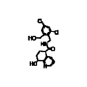 O=C(NCc1c(Cl)cc(Cl)cc1CO)C1CCC(O)c2ncccc21